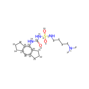 CN(C)CCCCNS(=O)(=O)NC(=O)Nc1c2c(cc3c1CCC3)CCC2